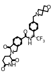 O=C1CCC(N2Cc3cc(C(=O)N[C@H](c4ccc(CN5CC6(COC6)C5)cc4)C(F)(F)F)ccc3C2=O)C(=O)N1